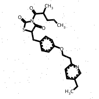 CCCC(C)C(=O)N1C(=O)SC(Cc2ccc(OCCc3ccc(CC)cn3)cc2)C1=O